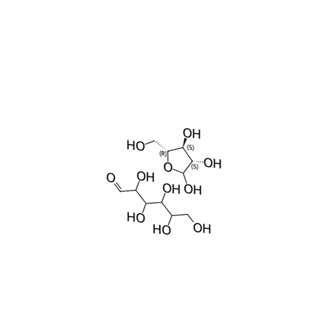 O=CC(O)C(O)C(O)C(O)CO.OC[C@H]1OC(O)[C@@H](O)[C@@H]1O